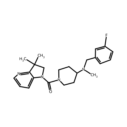 CN(Cc1cccc(F)c1)C1CCN(C(=O)N2CC(C)(C)c3ncccc32)CC1